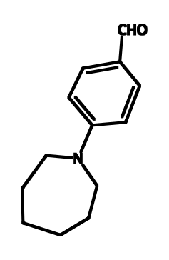 O=Cc1ccc(N2CCCCCC2)cc1